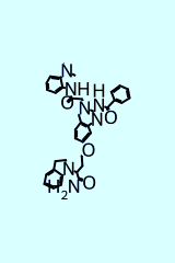 CN(C)c1ccccc1NC(=O)CN1Cc2ccc(OCCC(C(N)=O)N3CCc4ccccc43)cc2N=C1NC(=O)c1ccccc1